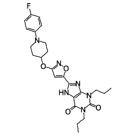 CCCn1c(=O)c2[nH]c(-c3cc(OC4CCN(c5ccc(F)cc5)CC4)no3)nc2n(CCC)c1=O